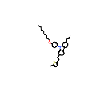 C/C=C/c1ccc2c3ccc(/C=C/c4ccc(C)s4)cc3n(-c3ccc(OCCCCCCCC)cc3)c2c1